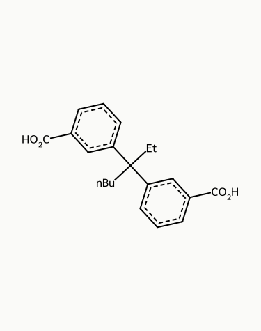 CCCCC(CC)(c1cccc(C(=O)O)c1)c1cccc(C(=O)O)c1